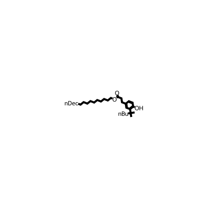 CCCCCCCCCCCCCCCCCCCCOC(=O)CCc1ccc(O)c(C(C)(C)CCCC)c1